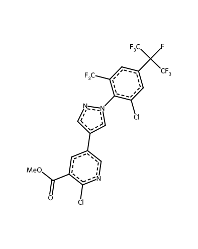 COC(=O)c1cc(-c2cnn(-c3c(Cl)cc(C(F)(C(F)(F)F)C(F)(F)F)cc3C(F)(F)F)c2)cnc1Cl